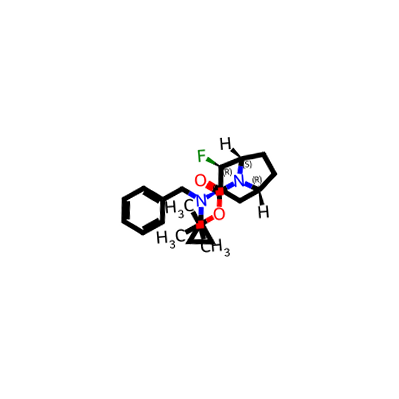 CC(C)(C)OC(=O)N1[C@@H]2CC[C@H]1[C@H](F)[C@H](N(Cc1ccccc1)C1CC1)C2